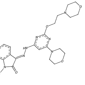 CN1C(=O)/C(=N/Nc2cc(N3CCOCC3)nc(OCCN3CCOCC3)n2)c2ccccc21